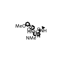 CNc1cc(Nc2cccn([C@H]3CCC[C@H](OC)C3)c2=O)nc2c(C(=O)NC3CC3)cnn12